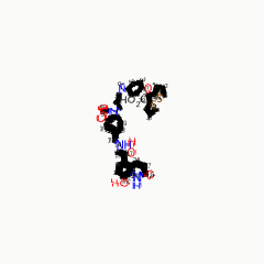 CN(CCCCn1c(=O)oc2cc(CNC[C@H](O)c3ccc(O)c4[nH]c(=O)ccc34)ccc21)[C@H]1CC[C@H](OC(C(=O)O)(c2cccs2)c2cccs2)CC1